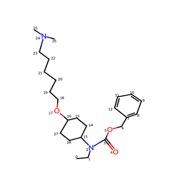 CCN(C(=O)OCc1ccccc1)C1CCC(OCCCCCCN(C)C)CC1